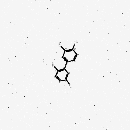 Fc1[c]cc(F)c(-c2ccc(F)c(F)c2)c1